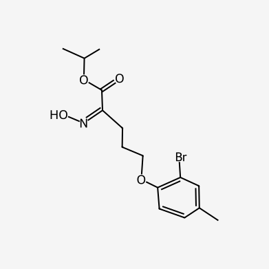 Cc1ccc(OCCCC(=NO)C(=O)OC(C)C)c(Br)c1